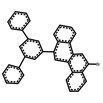 Brc1cc2c3ccccc3c(-c3cc(-c4ccccc4)cc(-c4ccccc4)c3)cc2c2ccccc12